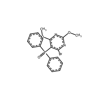 COc1nc(Br)c(P(=O)(c2ccccc2)c2ccccc2)c(OC)n1